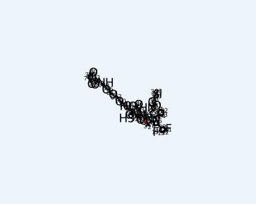 CC(C)(C)[C@H](c1cc(-c2cc(F)ccc2F)cn1Cc1ccccc1)N(CCCNC(=O)OCC[Si](C)(C)C)C(=O)CN(CCC(=O)O)C(=O)[C@H](CS)NC(=O)CCOCCOCCOCCOCCNC(=O)CN1C(=O)C=CC1=O